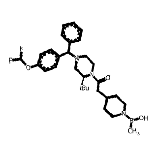 CB(O)N1CCC(CC(=O)N2CCN(C(c3ccccc3)c3ccc(OC(F)F)cc3)C[C@@H]2C(C)(C)C)CC1